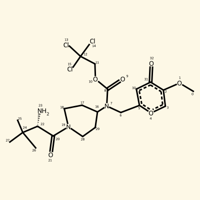 COc1coc(CN(C(=O)OCC(Cl)(Cl)Cl)C2CCN(C(=O)[C@@H](N)C(C)(C)C)CC2)cc1=O